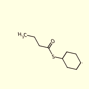 CCCC(=O)SC1CC[CH]CC1